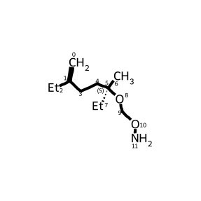 C=C(CC)CC[C@](C)(CC)OCON